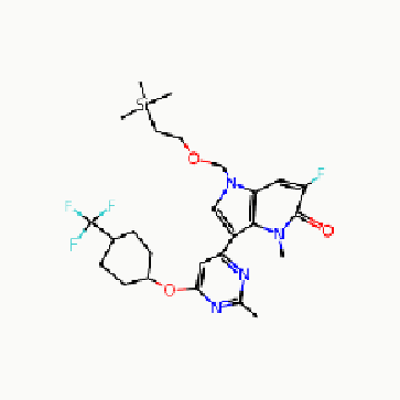 Cc1nc(OC2CCC(C(F)(F)F)CC2)cc(-c2cn(COCC[Si](C)(C)C)c3cc(F)c(=O)n(C)c23)n1